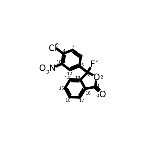 O=C1OC(F)(c2ccc(Cl)c([N+](=O)[O-])c2)c2ccccc21